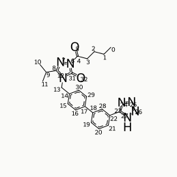 CCCCC(=O)n1nc(C(C)C)n(Cc2ccc(-c3cccc(-c4nnn[nH]4)c3)cc2)c1=O